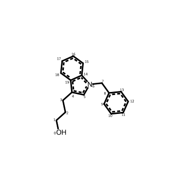 OCCCc1cn(Cc2ccccc2)c2ccccc12